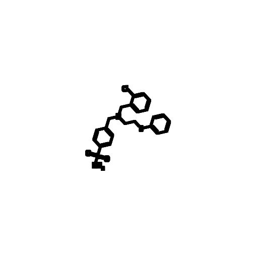 NS(=O)(=O)c1ccc(CN(CCSc2ccccc2)Cc2ccccc2Cl)cc1